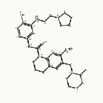 CC1COCCN1Cc1cc2c(nc1C=O)N(C(=O)Nc1cc(NCCN3CCCC3)c(C#N)cn1)CCC2